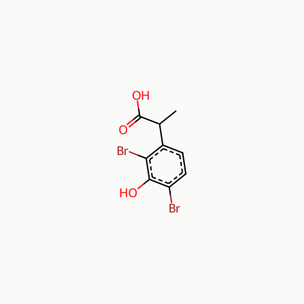 CC(C(=O)O)c1ccc(Br)c(O)c1Br